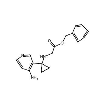 Nc1ccncc1C1(NCC(=O)OCc2ccccc2)CC1